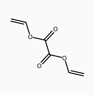 C=COC(=O)C(=O)OC=C